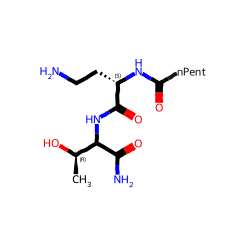 CCCCCC(=O)N[C@@H](CCN)C(=O)NC(C(N)=O)[C@@H](C)O